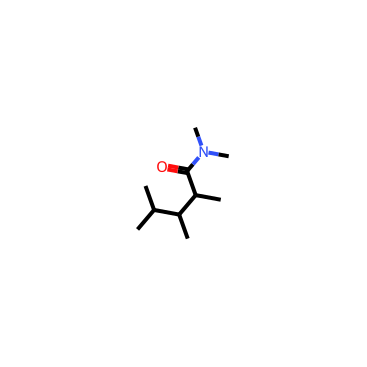 CC(C)C(C)C(C)C(=O)N(C)C